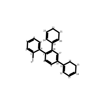 Ic1ccccc1-c1ccc(C2=CC=CCC2)cc1C1=CCCC=C1